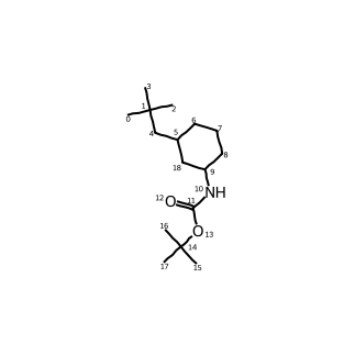 CC(C)(C)CC1CCCC(NC(=O)OC(C)(C)C)C1